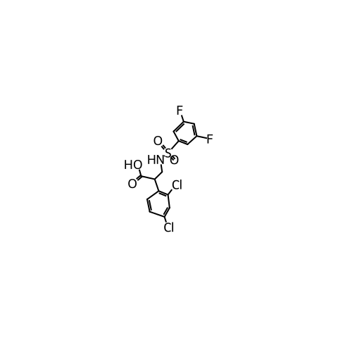 O=C(O)C(CNS(=O)(=O)c1cc(F)cc(F)c1)c1ccc(Cl)cc1Cl